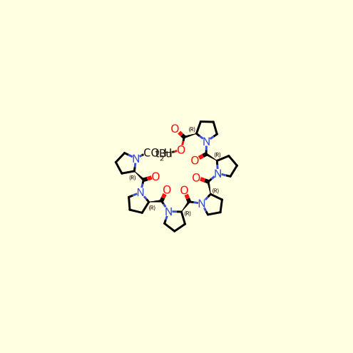 CC(C)(C)OC(=O)[C@H]1CCCN1C(=O)[C@H]1CCCN1C(=O)[C@H]1CCCN1C(=O)[C@H]1CCCN1C(=O)[C@H]1CCCN1C(=O)[C@H]1CCCN1C(=O)O